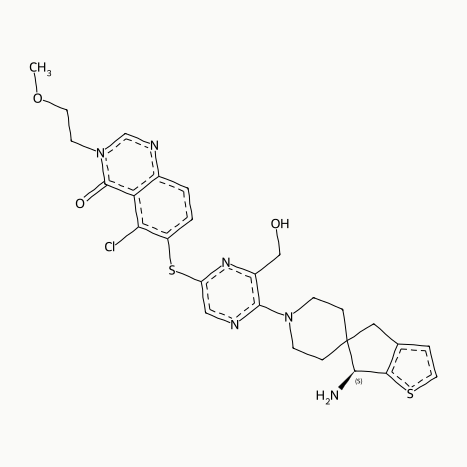 COCCn1cnc2ccc(Sc3cnc(N4CCC5(CC4)Cc4ccsc4[C@H]5N)c(CO)n3)c(Cl)c2c1=O